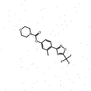 Cc1cc(OC(=O)N2CCOCC2)ccc1-c1noc(C(F)(F)F)n1